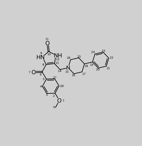 COc1ccc(C(=O)c2[nH]c(=O)[nH]c2CN2CCC(c3ccccc3)CC2)cc1